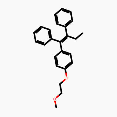 CC/C(=C(/c1ccccc1)c1ccc(OCCOC)cc1)c1ccccc1